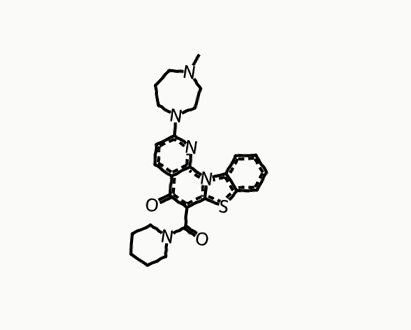 CN1CCCN(c2ccc3c(=O)c(C(=O)N4CCCCC4)c4sc5ccccc5n4c3n2)CC1